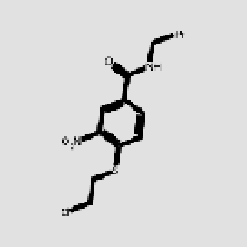 CC(C)CNC(=O)c1ccc(SCCCl)c([N+](=O)[O-])c1